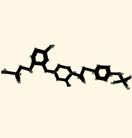 C[C@H]1CN(Cc2cc(Cl)ccc2OCC(=O)O)CCN1C(=O)Cc1ccc(OC(F)(F)F)cc1